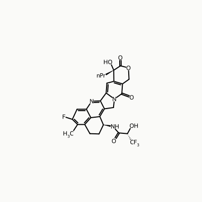 CCC[C@@]1(O)C(=O)OCc2c1cc1n(c2=O)Cc2c-1nc1cc(F)c(C)c3c1c2[C@@H](NC(=O)[C@H](O)C(F)(F)F)CC3